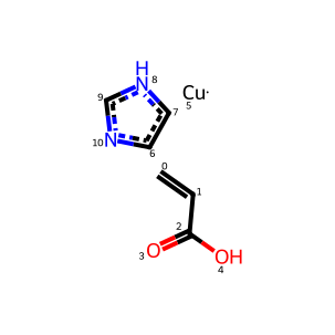 C=CC(=O)O.[Cu].c1c[nH]cn1